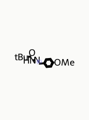 COc1ccc(/C=N/NC(=O)C(C)(C)C)cc1